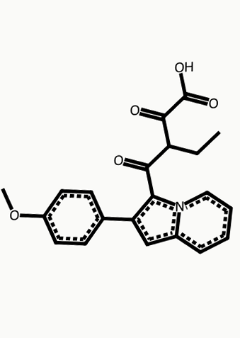 CCC(C(=O)C(=O)O)C(=O)c1c(-c2ccc(OC)cc2)cc2ccccn12